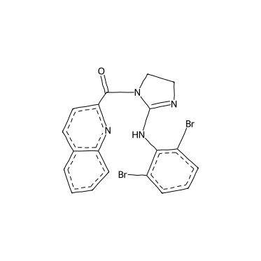 O=C(c1ccc2ccccc2n1)N1CCN=C1Nc1c(Br)cccc1Br